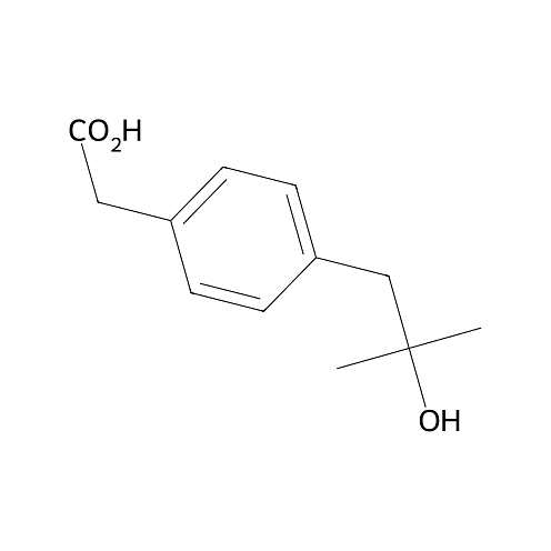 CC(C)(O)Cc1ccc(CC(=O)O)cc1